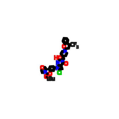 CC(C)(C)OC(=O)N1CCOC[C@H]1c1ccc(-n2c(Cl)cc3c(=O)n(CC4(O)CCN(C(=O)C[C@H](c5ccccc5)C(F)(F)F)CC4)cnc32)cc1